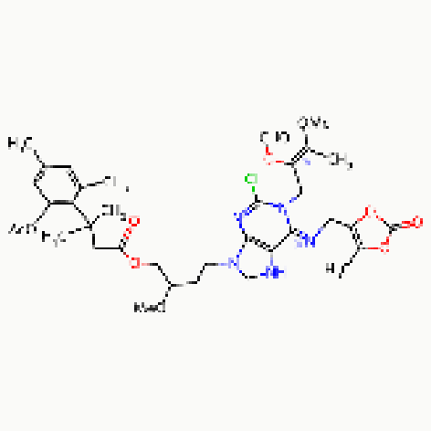 CO/C(C)=C(/Cn1c(Cl)nc2c(/c1=N/Cc1oc(=O)oc1C)NCN2CCC(COC(=O)CC(C)(C)c1c(C)cc(C)cc1OC(C)=O)OC)OC=O